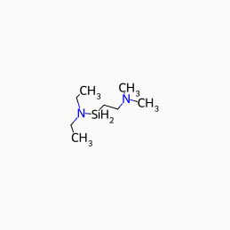 CCN(CC)[SiH2]CCN(C)C